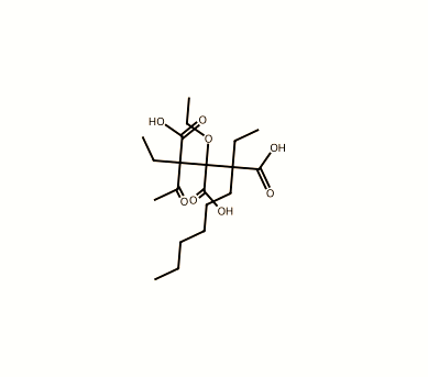 CCCCCCC(CC)(C(=O)O)C(OCC)(C(=O)O)C(CC)(C(C)=O)C(=O)O